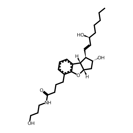 CCCCC[C@H](O)/C=C/[C@@H]1[C@H]2c3cccc(CCCC(=O)NCCCO)c3O[C@H]2C[C@H]1O